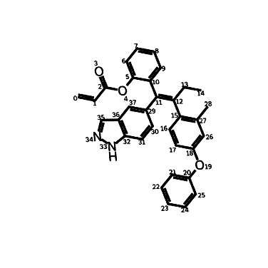 C=CC(=O)Oc1ccccc1/C(=C(\CC)c1ccc(Oc2ccccc2)cc1C)c1ccc2[nH]ncc2c1